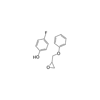 Oc1ccc(F)cc1.c1ccc(OCC2CO2)cc1